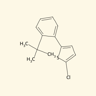 CC(C)(C)c1ccccc1-c1ccc(Cl)s1